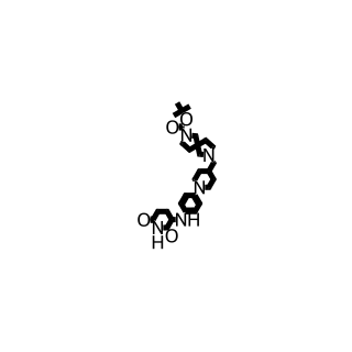 CC(C)(C)OC(=O)N1CCC2(CCN(CC3CCN(c4ccc(NC5CCC(=O)NC5=O)cc4)CC3)C2)C1